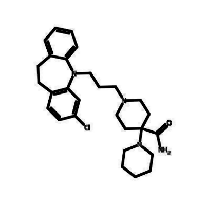 NC(=O)C1(N2CCCCC2)CCN(CCCN2c3ccccc3CCc3ccc(Cl)cc32)CC1